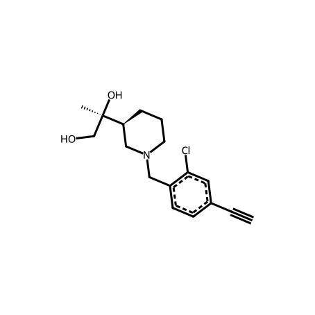 C#Cc1ccc(CN2CCC[C@H]([C@](C)(O)CO)C2)c(Cl)c1